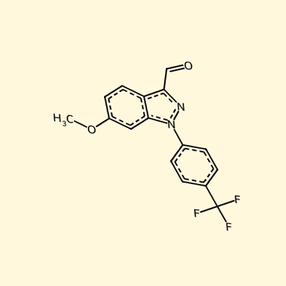 COc1ccc2c(C=O)nn(-c3ccc(C(F)(F)F)cc3)c2c1